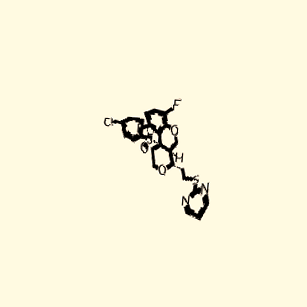 O=S(=O)(c1ccc(Cl)cc1)[C@@]12CCO[C@@H](CCSc3ncccn3)[C@@H]1COc1c(F)ccc(F)c12